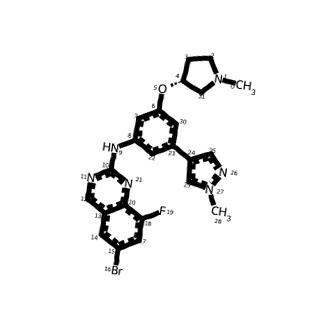 CN1CC[C@@H](Oc2cc(Nc3ncc4cc(Br)cc(F)c4n3)cc(-c3cnn(C)c3)c2)C1